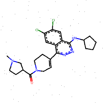 CN1CCC(C(=O)N2CC=C(c3nnc(NC4CCCC4)c4cc(Cl)c(Cl)cc34)CC2)C1